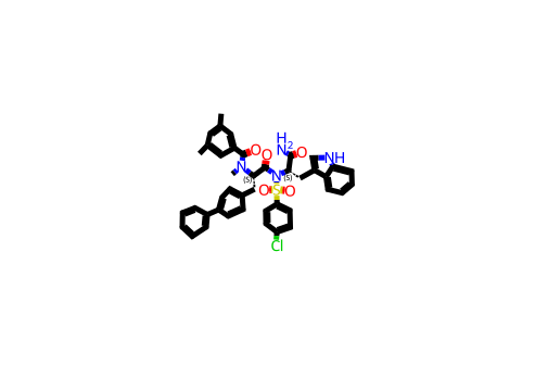 Cc1cc(C)cc(C(=O)N(C)[C@@H](Cc2ccc(-c3ccccc3)cc2)C(=O)N([C@@H](Cc2c[nH]c3ccccc23)C(N)=O)S(=O)(=O)c2ccc(Cl)cc2)c1